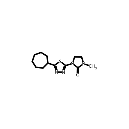 CN1CCN(c2nnc(C3CCCCCC3)s2)C1=O